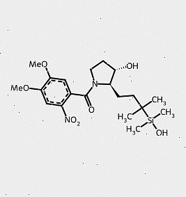 COc1cc(C(=O)N2CC[C@H](O)[C@H]2CCC(C)(C)[Si](C)(C)O)c([N+](=O)[O-])cc1OC